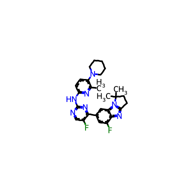 Cc1nc(Nc2ncc(F)c(-c3cc(F)c4nc5n(c4c3)C(C)(C)CC5)n2)ccc1N1CCCCC1